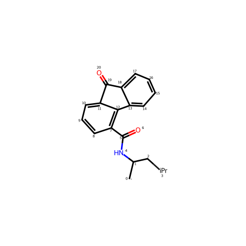 [CH2]C(CC(C)C)NC(=O)c1cccc2c1-c1ccccc1C2=O